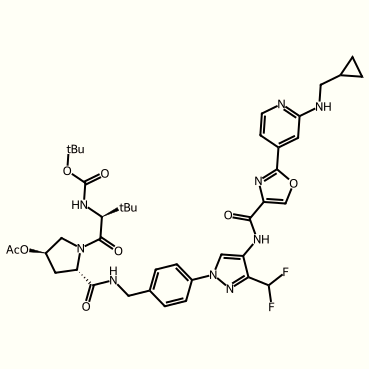 CC(=O)O[C@@H]1C[C@@H](C(=O)NCc2ccc(-n3cc(NC(=O)c4coc(-c5ccnc(NCC6CC6)c5)n4)c(C(F)F)n3)cc2)N(C(=O)[C@@H](NC(=O)OC(C)(C)C)C(C)(C)C)C1